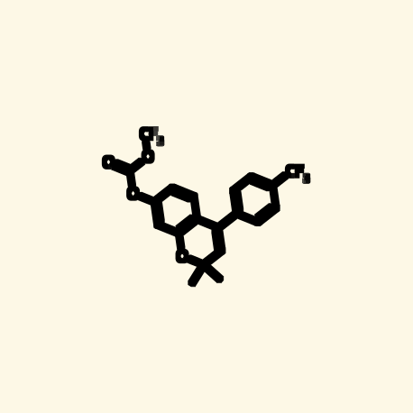 CC1(C)C=C(c2ccc(C(F)(F)F)cc2)c2ccc(OC(=O)OC(F)(F)F)cc2O1